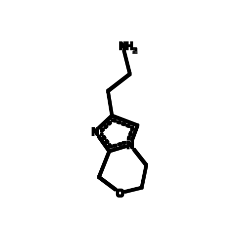 NCCc1cn2c(n1)COCC2